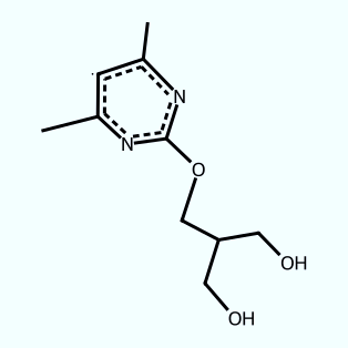 Cc1[c]c(C)nc(OCC(CO)CO)n1